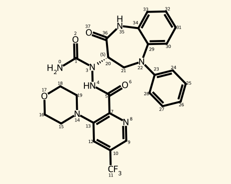 NC(=O)N(NC(=O)c1ncc(C(F)(F)F)cc1N1CCOCC1)[C@H]1CN(c2ccccc2)c2ccccc2NC1=O